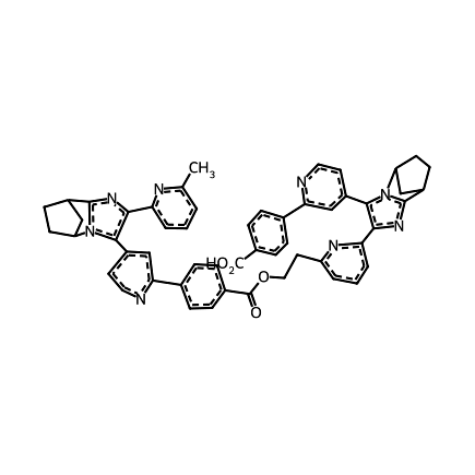 Cc1cccc(-c2nc3n(c2-c2ccnc(-c4ccc(C(=O)OCCc5cccc(-c6nc7n(c6-c6ccnc(-c8ccc(C(=O)O)cc8)c6)C6CCC7C6)n5)cc4)c2)C2CCC3C2)n1